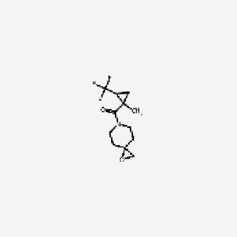 CC1(C(=O)N2CCC3(CC2)CO3)CC1C(F)(F)F